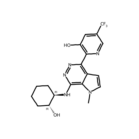 Cn1ccc2c(-c3ncc(C(F)(F)F)cc3O)nnc(N[C@@H]3CCCC[C@H]3O)c21